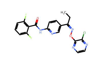 CCC(=NOc1nccnc1Cl)c1ccc(NC(=O)c2c(F)cccc2F)nc1